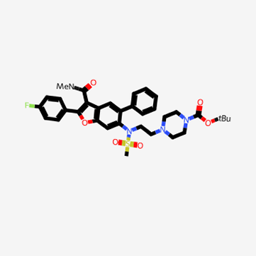 CNC(=O)c1c(-c2ccc(F)cc2)oc2cc(N(CCN3CCN(C(=O)OC(C)(C)C)CC3)S(C)(=O)=O)c(-c3ccccc3)cc12